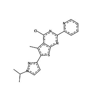 Cc1c(-c2ccn(C(C)C)n2)sc2nc(-c3ccccn3)nc(Cl)c12